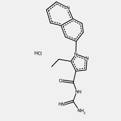 CCc1c(C(=O)NC(=N)N)cnn1-c1ccc2ncccc2c1.Cl